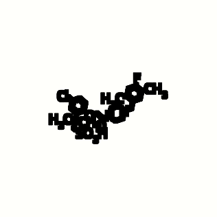 Cc1cc(CN2CCN(C(=O)COc3ccc(Cl)cc3C(C)(C)CS(=O)(=O)O)CC2)c(C)cc1F